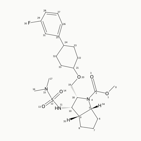 COC(=O)N1[C@@H]2CCC[C@@H]2[C@H](NS(=O)(=O)N(C)C)[C@@H]1COC1CCC(c2cccc(F)c2)CC1